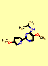 COc1ccc(-c2ncc(OC)c(NC(C)C)n2)nc1